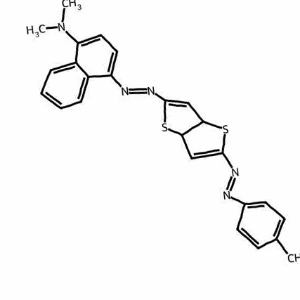 Cc1ccc(N=NC2=CC3SC(N=Nc4ccc(N(C)C)c5ccccc45)=CC3S2)cc1